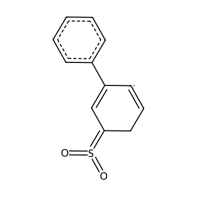 O=S(=O)=C1C=C(c2ccccc2)[C]=CC1